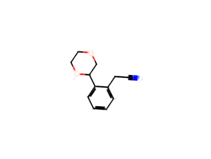 N#CCc1ccccc1C1COCCO1